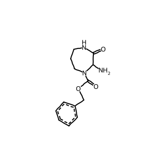 NC1C(=O)NCCCN1C(=O)OCc1ccccc1